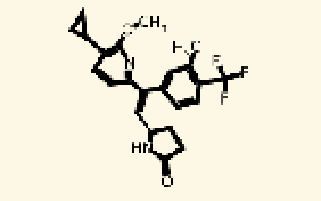 COc1nc(C(=C[C@H]2CCC(=O)N2)c2ccc(C(F)(F)F)c(C)c2)ccc1C1CC1